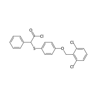 O=C(Cl)C(Sc1ccc(OCc2c(Cl)cccc2Cl)cc1)c1ccccc1